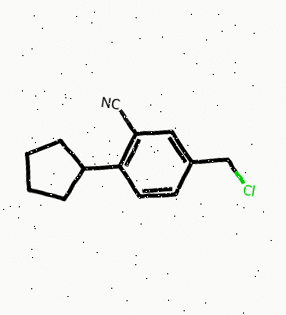 N#Cc1cc(CCl)ccc1C1CCCC1